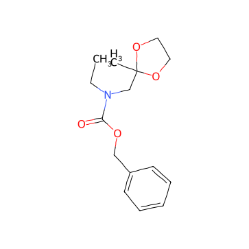 CCN(CC1(C)OCCO1)C(=O)OCc1ccccc1